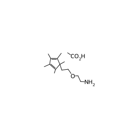 CC(=O)O.CC1=C(C)C(C)(CCOCCN)C(C)=C1C